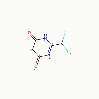 O=C1CC(=O)NC(C(F)F)=N1